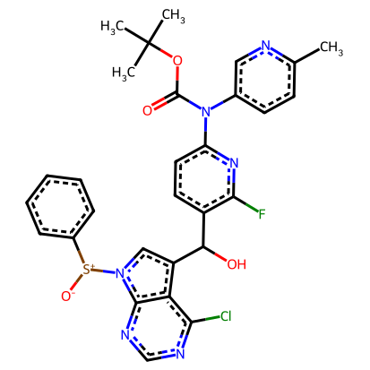 Cc1ccc(N(C(=O)OC(C)(C)C)c2ccc(C(O)c3cn([S+]([O-])c4ccccc4)c4ncnc(Cl)c34)c(F)n2)cn1